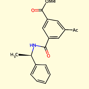 COC(=O)c1cc(C(C)=O)cc(C(=O)N[C@H](C)c2ccccc2)c1